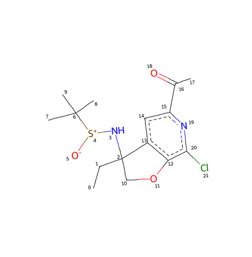 CCC1(N[S+]([O-])C(C)(C)C)COc2c1cc(C(C)=O)nc2Cl